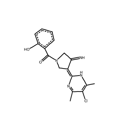 CC1=N/C(=C2\CN(C(=O)c3ccccc3O)CC2=N)NC(C)=C1Cl